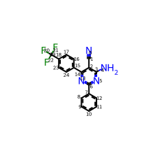 N#Cc1c(N)nc(-c2ccccc2)nc1-c1ccc(C(F)(F)F)cc1